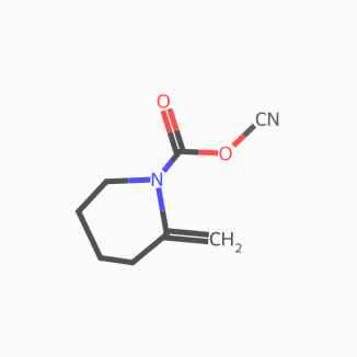 C=C1CCCCN1C(=O)OC#N